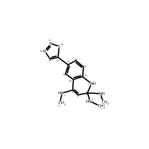 CNC1=CC(NC)(NC)Nc2ccc(-c3cnns3)cc21